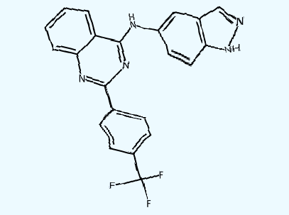 FC(F)(F)c1ccc(-c2nc(Nc3ccc4[nH]ncc4c3)c3ccccc3n2)cc1